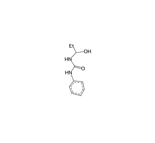 CCC(O)NC(=O)Nc1ccccc1